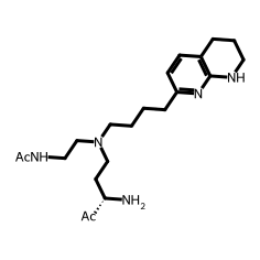 CC(=O)NCCN(CCCCc1ccc2c(n1)NCCC2)CC[C@H](N)C(C)=O